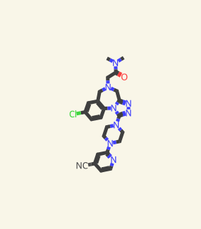 CN(C)C(=O)CN1Cc2cc(Cl)ccc2-n2c(nnc2N2CCN(c3cc(C#N)ccn3)CC2)C1